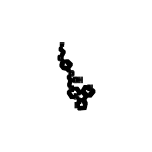 OC(COc1ccc(OCCF)cc1)CN1CCN(c2ncccc2-c2ccncc2)CC1